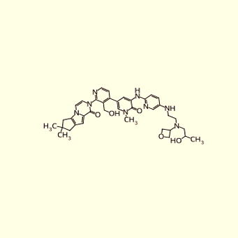 CC(O)CN(CCNc1ccc(Nc2cc(-c3ccnc(-n4ccn5c6c(cc5c4=O)CC(C)(C)C6)c3CO)cn(C)c2=O)nc1)C1COC1